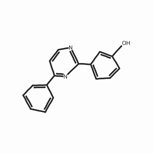 Oc1cccc(-c2nccc(-c3ccccc3)n2)c1